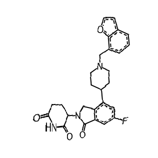 O=C1CCC(N2Cc3c(cc(F)cc3C3CCN(Cc4cccc5ccoc45)CC3)C2=O)C(=O)N1